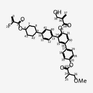 C=C(F)C(=O)OC1CCC(c2ccc(-c3cc(-c4ccc(OC(=O)C(C)COC)cc4)ccc3OC(=O)C(=C)CO)cc2)CC1